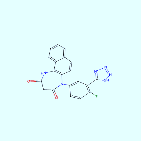 O=C1CC(=O)N(c2ccc(F)c(-c3nnn[nH]3)c2)c2ccc3ccccc3c2N1